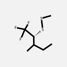 CCC(C)[C@@H](SSC)C(F)(F)F